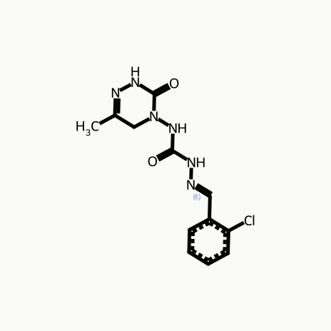 CC1=NNC(=O)N(NC(=O)N/N=C/c2ccccc2Cl)C1